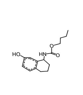 CCCCOC(=O)NC1CCCc2ccc(O)cc21